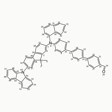 CC1(C)c2cc(N(c3ccc(-c4ccc(-c5ccc(C=O)cc5)cc4)cc3)c3cccc4ccccc34)ccc2-c2ccc(-n3c4ccccc4c4ccccc43)cc21